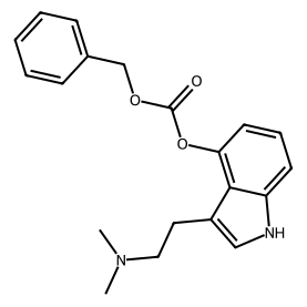 CN(C)CCc1c[nH]c2cccc(OC(=O)OCc3ccccc3)c12